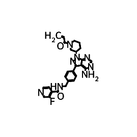 C=CC(=O)N1CCC[C@@H](n2nc(-c3ccc(CNC(=O)c4ccncc4F)cc3)c3c(N)ncnc32)C1